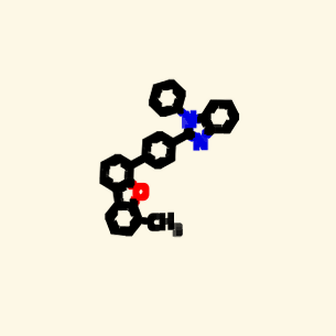 Cc1cccc2c1oc1c(-c3ccc(-c4nc5ccccc5n4-c4ccccc4)cc3)cccc12